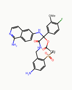 CCS(=O)(=O)c1ccc(N)cc1CNC(=O)C(Nc1ccc2c(N)nccc2c1)(OC(=O)C(F)(F)F)c1ccc(F)c(OC)c1